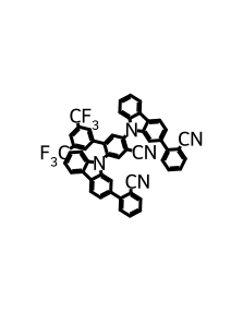 N#Cc1ccccc1-c1ccc2c3ccccc3n(-c3cc(-c4cc(C(F)(F)F)cc(C(F)(F)F)c4)c(-n4c5ccccc5c5ccc(-c6ccccc6C#N)cc54)cc3C#N)c2c1